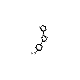 Oc1ccc(-c2cn(-c3cccnc3)nn2)cc1